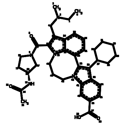 CCN(C)Cc1c(C(=O)N2CC[C@@H](NC(C)=O)C2)n2c3c(cccc13)-c1c(C3CCCCC3)c3ccc(C(=O)O)cc3n1CCC2